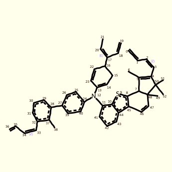 C=C/C=C\C1=C(C)C2c3sc4c(N(C5=CCC(/C(C=C)=C/C)C=C5)c5ccc(-c6cccc(/C=C\C=C)c6C)cc5)cccc4c3C=CC2(C)C1(C)C